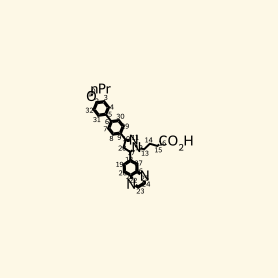 CCCOc1ccc(-c2ccc(C3=NN(CCCC(=O)O)C(c4ccc5nccnc5c4)C3)cc2)cc1